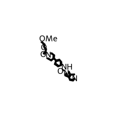 COCCOCC(=O)N1CC=C(c2ccc(NC(=O)N3Cc4ccncc4C3)cc2)CC1